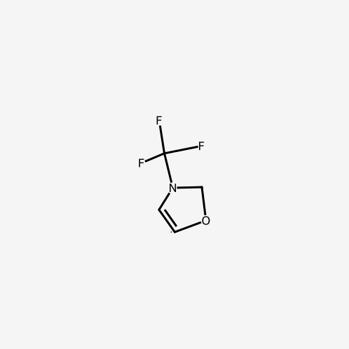 FC(F)(F)N1C=[C]OC1